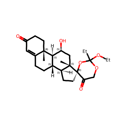 CCOC1(CC)OCC(=O)[C@]2(CC[C@H]3[C@@H]4CCC5=CC(=O)CC[C@]5(C)[C@H]4[C@@H](O)C[C@@]32C)O1